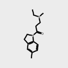 CCN(C)CCC(=O)N1CCc2cc(C)ccc21